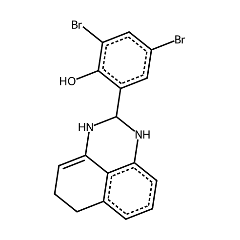 Oc1c(Br)cc(Br)cc1C1NC2=CCCc3cccc(c32)N1